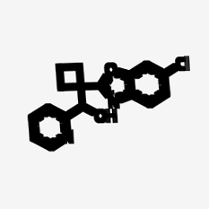 OC(c1ccccn1)C1(c2nc3ccc(Cl)cc3o2)CCC1